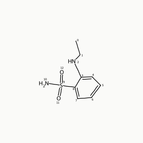 CCNc1ccccc1S(N)(=O)=O